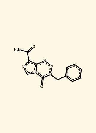 NC(=O)c1ncn2c(=O)n(Cc3ccccc3)nnc12